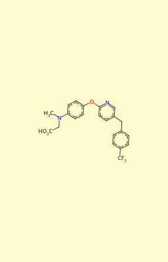 CN(CC(=O)O)c1ccc(Oc2ccc(Cc3ccc(C(F)(F)F)cc3)cn2)cc1